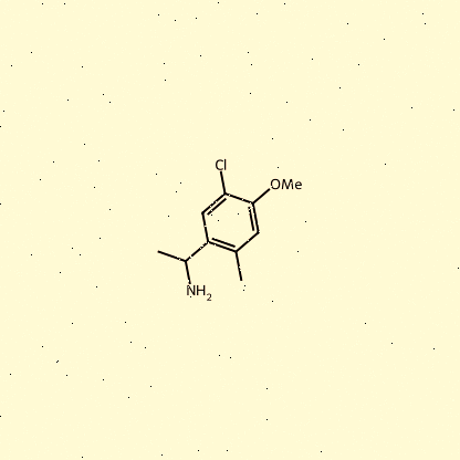 COc1cc(C)c(C(C)N)cc1Cl